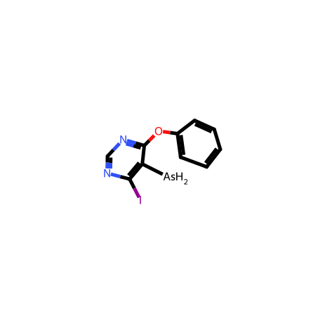 [AsH2]c1c(I)ncnc1Oc1ccccc1